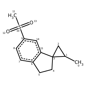 CC1CC12CCc1ccc(S(C)(=O)=O)cc12